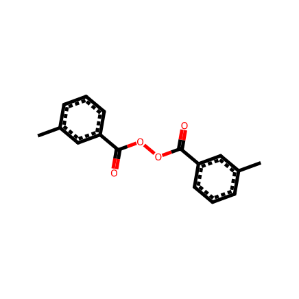 Cc1cccc(C(=O)OOC(=O)c2cccc(C)c2)c1